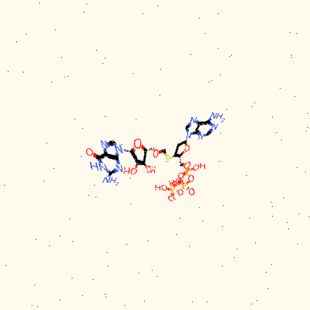 Nc1nc2c(ncn2[C@@H]2O[C@H](COCS[C@H]3C[C@H](n4cnc5c(N)ncnc54)O[C@@H]3COP(=O)(O)OP(=O)(O)OP(=O)(O)O)[C@@H](O)[C@H]2O)c(=O)[nH]1